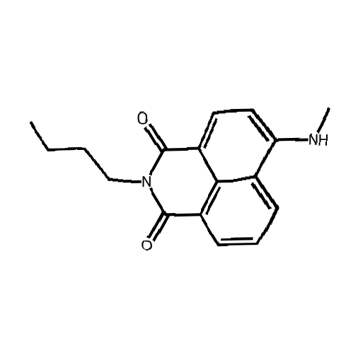 CCCCN1C(=O)c2cccc3c(NC)ccc(c23)C1=O